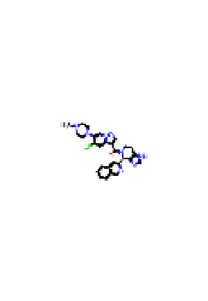 CN1CCN(c2cn3ncc(C(=O)N4CCc5[nH]cnc5[C@H]4c4cc5ccccc5cn4)c3cc2Cl)CC1